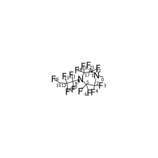 CN1C(F)(F)C(F)(F)N(C(F)(F)C(F)(F)CF)C(F)(F)C1(F)F